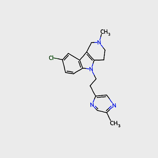 Cc1cnc(CCn2c3c(c4cc(Cl)ccc42)CN(C)CC3)cn1